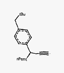 [C]#CC(CCCCC)c1ccc(CC(C)(C)C)cc1